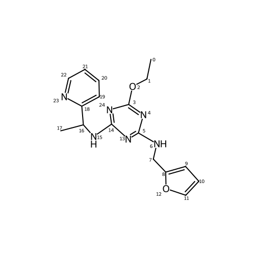 CCOc1nc(NCc2ccco2)nc(NC(C)c2ccccn2)n1